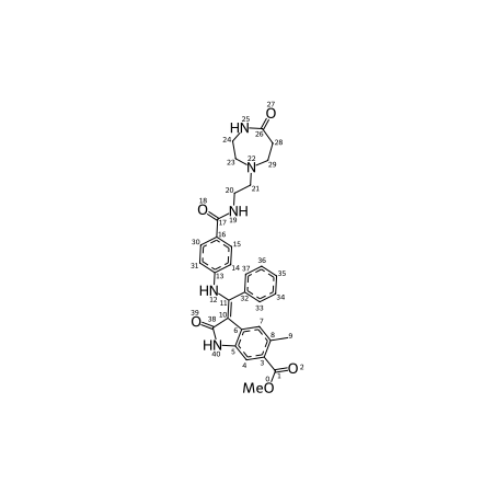 COC(=O)c1cc2c(cc1C)/C(=C(/Nc1ccc(C(=O)NCCN3CCNC(=O)CC3)cc1)c1ccccc1)C(=O)N2